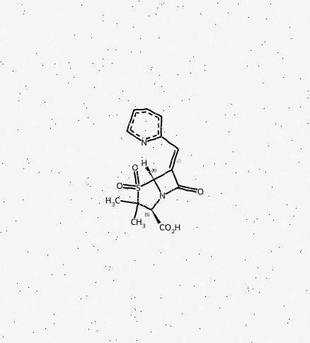 CC1(C)[C@H](C(=O)O)N2C(=O)/C(=C/c3ccccn3)[C@H]2S1(=O)=O